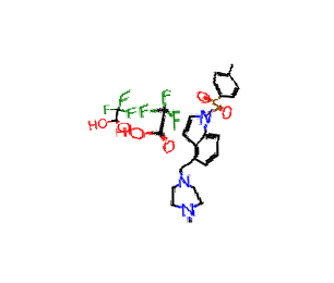 Cc1ccc(S(=O)(=O)n2ccc3c(CN4CCN(C)CC4)cccc32)cc1.O=C(O)C(F)(F)F.O=C(O)C(F)(F)F